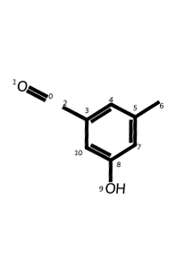 C=O.Cc1cc(C)cc(O)c1